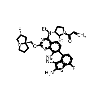 C=CC(=O)N1CC[C@@H](N(CC)c2nc(OC[C@@]34CCCN3C[C@H](F)C4)nc3c(C#N)c(-c4ccc(F)c5sc(N)c(C#N)c45)ccc23)[C@@H]1CC